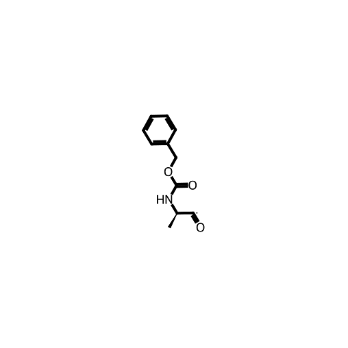 C[C@H]([C]=O)NC(=O)OCc1ccccc1